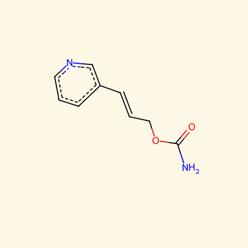 NC(=O)OCC=Cc1cccnc1